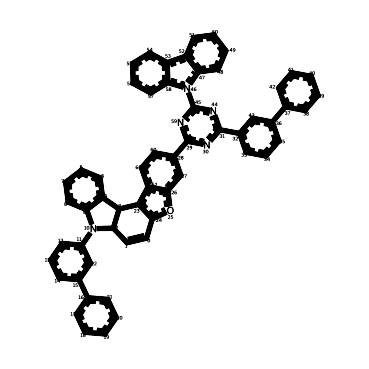 C1=CC2C(c3ccccc3N2c2cccc(-c3ccccc3)c2)c2c1oc1cc(-c3nc(-c4cccc(-c5ccccc5)c4)nc(-n4c5ccccc5c5ccccc54)n3)ccc21